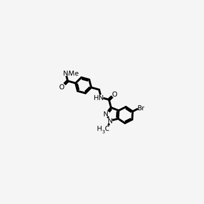 CNC(=O)c1ccc(CNC(=O)c2nn(C)c3ccc(Br)cc23)cc1